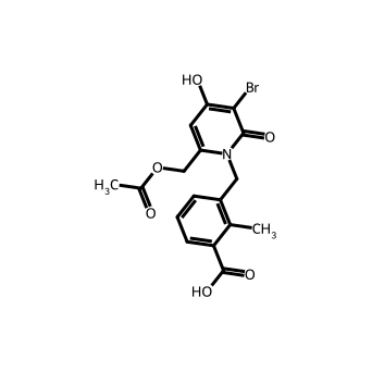 CC(=O)OCc1cc(O)c(Br)c(=O)n1Cc1cccc(C(=O)O)c1C